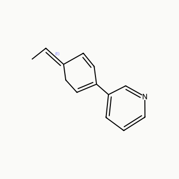 C/C=C1/C=CC(c2cccnc2)=CC1